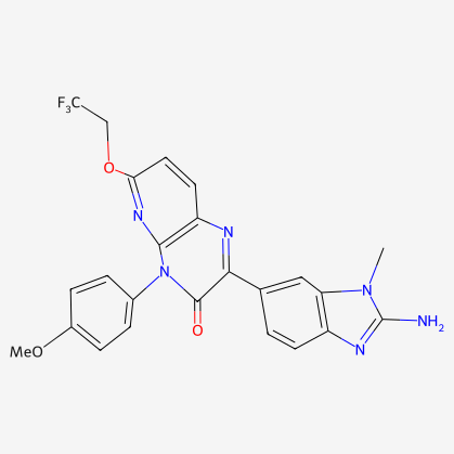 COc1ccc(-n2c(=O)c(-c3ccc4nc(N)n(C)c4c3)nc3ccc(OCC(F)(F)F)nc32)cc1